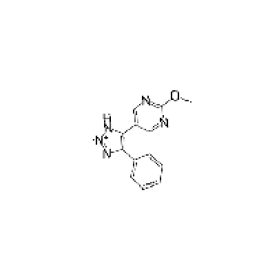 COc1ncc(C2=C(c3ccccc3)N=[N+]N2)cn1